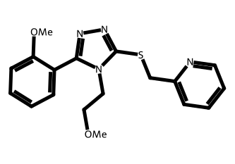 COCCn1c(SCc2ccccn2)nnc1-c1ccccc1OC